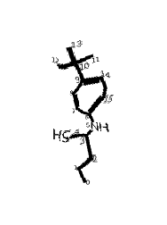 CCCC(S)Nc1ccc(C(C)(C)C)cc1